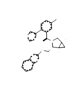 Cc1ccc(-c2cncs2)c(C(=O)N2C[C@H]3C[C@H]3[C@H]2CNc2nc3ccccc3o2)c1